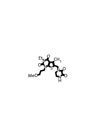 CCn1c(=O)c2c(C)c(CN3CCNC(=O)C3=O)sc2n(CCCOC)c1=O